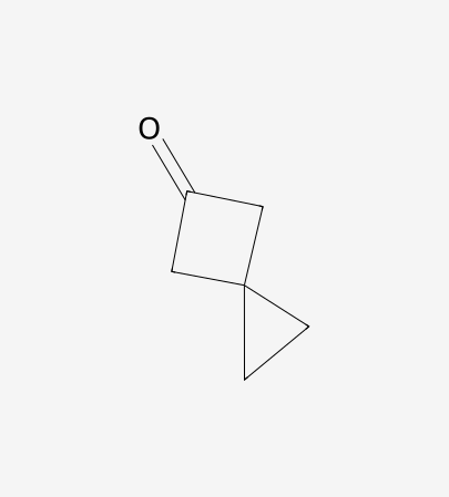 O=C1CC2(CC2)C1